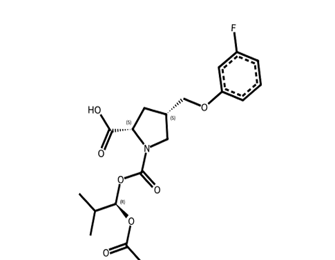 CC(=O)O[C@H](OC(=O)N1C[C@@H](COc2cccc(F)c2)C[C@H]1C(=O)O)C(C)C